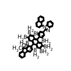 Bc1c(B)c(B)c2c(-c3ccc4c(c3)C(C)(C)c3ccccc3-4)c3c(B)c(B)c(B)c(B)c3c(-c3ccc(-c4nc5ccccc5n4-c4cccc5ccccc45)cc3)c2c1B